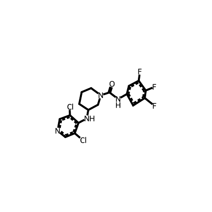 O=C(Nc1cc(F)c(F)c(F)c1)N1CCCC(Nc2c(Cl)cncc2Cl)C1